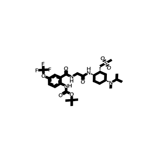 CC(C)N(C)[C@@H]1CC[C@H](NC(=O)CNC(=O)c2cc(OC(F)(F)F)ccc2NC(=O)OC(C)(C)C)[C@H](CS(C)(=O)=O)C1